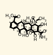 CC(=O)c1cccc2c1C[C@H]1C[C@H]3[C@H](N(C)C)C(O)=C(C(N)=O)C4(O)O[C@]34C(O)=C1C2=O